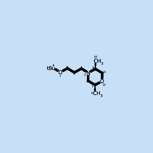 C[C@H]1CN(CCCOC(C)(C)C)[C@@H](C)CO1